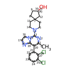 Cc1nc(N2CCC3(CC[C@@H](O)C3)CC2)n2ccnc2c1-c1cccc(Cl)c1Cl